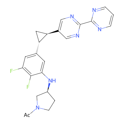 CC(=O)N1CC[C@H](Nc2cc([C@@H]3C[C@H]3c3cnc(-c4ncccn4)nc3)cc(F)c2F)C1